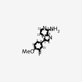 COc1ccc(-c2cnc3c(N)nccn23)cc1F